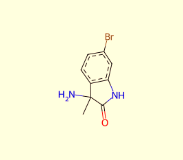 CC1(N)C(=O)Nc2cc(Br)ccc21